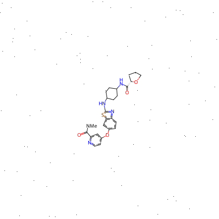 CNC(=O)c1cc(Oc2ccc3nc(NC4CCC(NC(=O)[C@@H]5CCCO5)CC4)sc3c2)ccn1